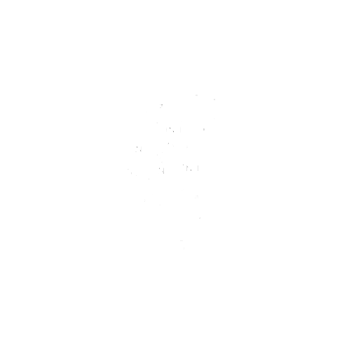 N#CC1(NC(=O)C(CC2CCCCC2)Nc2nc(=O)oc3cc(F)ccc23)CC1